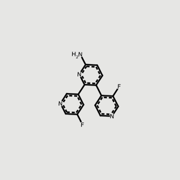 Nc1ccc(-c2ccncc2F)c(-c2cncc(F)c2)n1